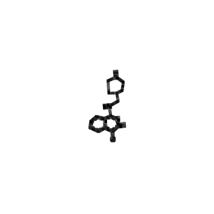 O=c1[nH]nc(NCC2CCNCC2)c2ccccc12